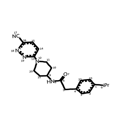 CC(C)c1ccc(CC(=O)NC2CCN(c3ccc(C#N)nn3)CC2)cc1